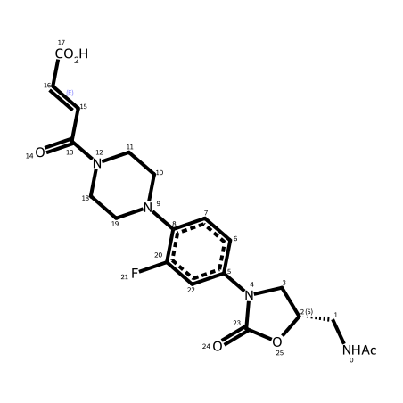 CC(=O)NC[C@H]1CN(c2ccc(N3CCN(C(=O)/C=C/C(=O)O)CC3)c(F)c2)C(=O)O1